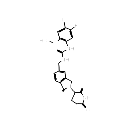 COc1cc(F)c(F)cc1NC(=O)NCc1ccc2c(c1)CN(C1CCC(=O)NC1=O)C2=O